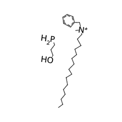 CCCCCCCCCCCCCCCC[N+](C)(C)Cc1ccccc1.OCCCP